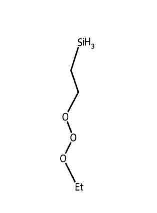 CCOOOCC[SiH3]